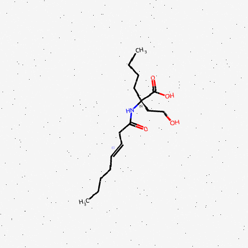 CCCC/C=C/CC(=O)N[C@](CCO)(CCCC)C(=O)O